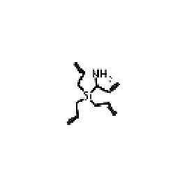 C=CC[Si](CC=C)(CC=C)C(N)C=C